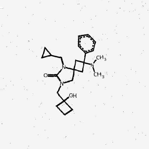 CN(C)C1(c2ccccc2)CC2(CN(CC3(O)CCC3)C(=O)N2CC2CC2)C1